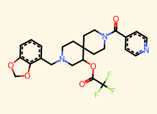 O=C(c1ccncc1)N1CCC2(CCN(Cc3cccc4c3OCO4)CC2OC(=O)C(F)(F)F)CC1